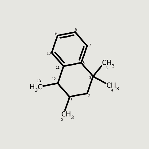 CC1CC(C)(C)c2ccccc2C1C